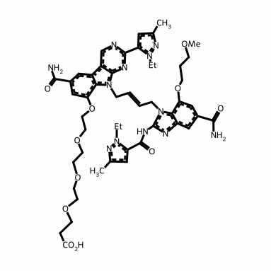 CCn1nc(C)cc1C(=O)Nc1nc2cc(C(N)=O)cc(OCCCOC)c2n1C/C=C/Cn1c2nc(-c3cc(C)nn3CC)ncc2c2cc(C(N)=O)cc(OCCOCCOCCOCCC(=O)O)c21